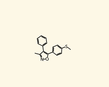 CSc1ccc(-c2onc(C)c2-c2ccccc2)cc1